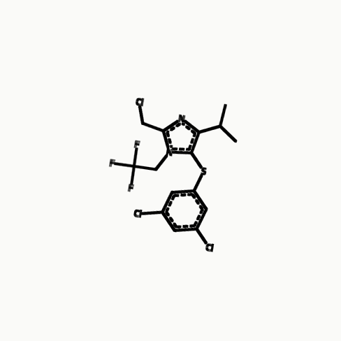 CC(C)c1nc(CCl)n(CC(F)(F)F)c1Sc1cc(Cl)cc(Cl)c1